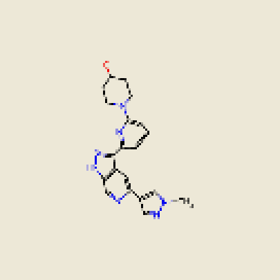 Cn1cc(-c2cc3c(-c4cccc(N5CCC(O)CC5)n4)n[nH]c3cn2)cn1